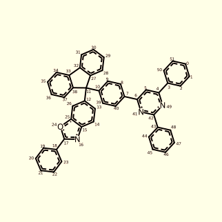 c1ccc(-c2cc(-c3ccc(C4(c5ccc6nc(-c7ccccc7)oc6c5)c5ccccc5-c5ccccc54)cc3)nc(-c3ccccc3)n2)cc1